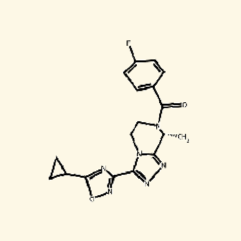 C[C@@H]1c2nnc(-c3noc(C4CC4)n3)n2CCN1C(=O)c1ccc(F)cc1